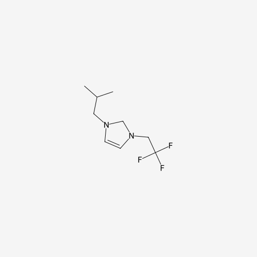 CC(C)CN1C=CN(CC(F)(F)F)C1